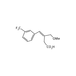 COCC(=Cc1cccc(C(F)(F)F)c1)CC(=O)O